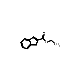 CCOC(=O)C1=Cc2ccccc2C1